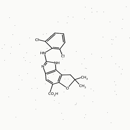 CC1(C)Cc2c(c(C(=O)O)cc3nc(Nc4c(Cl)cccc4Cl)[nH]c23)O1